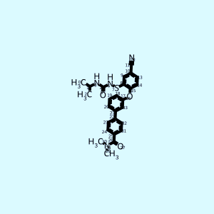 CC(C)NC(=O)NSc1cc(C#N)ccc1Oc1cccc(-c2ccc(C(=O)N(C)C)cc2)c1